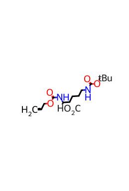 C=CCOC(=O)NC(CCCCNC(=O)OC(C)(C)C)C(=O)O